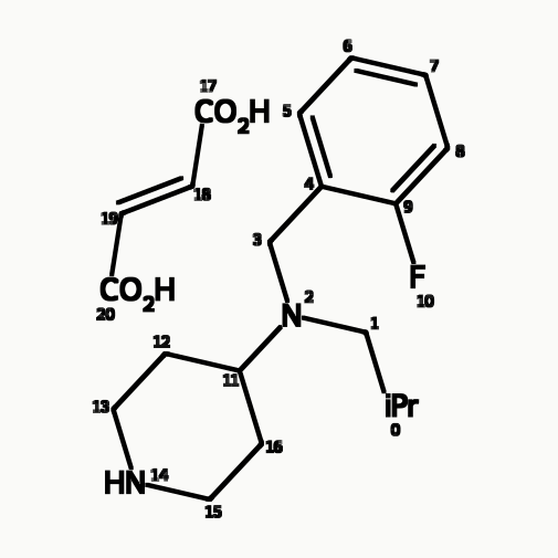 CC(C)CN(Cc1ccccc1F)C1CCNCC1.O=C(O)C=CC(=O)O